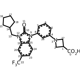 O=C(O)C1CN(c2cccc(-n3c(=O)n(CC4CCCC4)c4cc(C(F)(F)F)ccc43)c2)C1